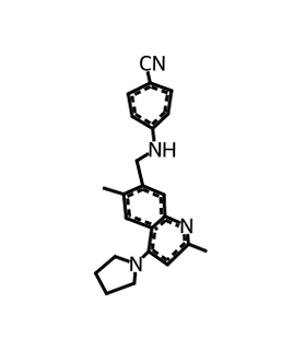 Cc1cc(N2CCCC2)c2cc(C)c(CNc3ccc(C#N)cc3)cc2n1